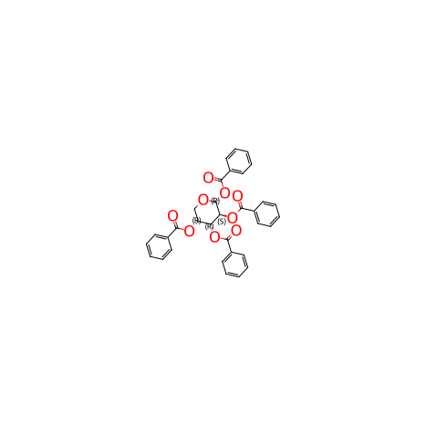 O=C(O[C@H]1OC[C@@H](OC(=O)c2ccccc2)[C@@H](OC(=O)c2ccccc2)[C@@H]1OC(=O)c1ccccc1)c1ccccc1